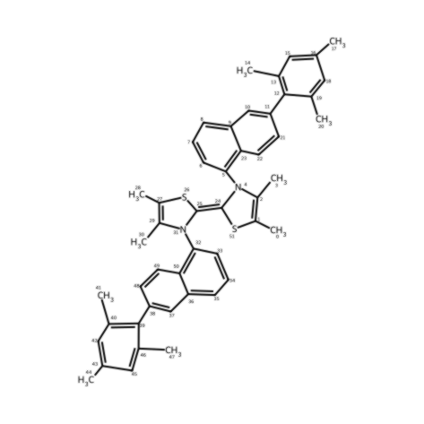 CC1=C(C)N(c2cccc3cc(-c4c(C)cc(C)cc4C)ccc23)/C(=C2\SC(C)=C(C)N2c2cccc3cc(-c4c(C)cc(C)cc4C)ccc23)S1